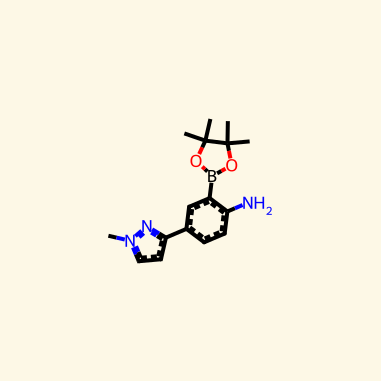 Cn1ccc(-c2ccc(N)c(B3OC(C)(C)C(C)(C)O3)c2)n1